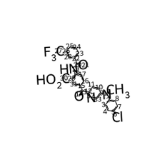 CN(c1ccc(Cl)cc1)c1ccc(C(=O)c2ccc(NC(=O)c3cccc(C(F)(F)F)c3)c(C(=O)O)c2)nc1